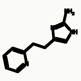 Nc1nc(CCc2ccccn2)c[nH]1